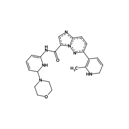 CC1=C(c2ccc3ncc(C(=O)NC4=CC=CC(N5CCOCC5)N4)n3n2)C=CCN1